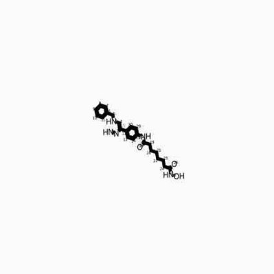 N=N/C(=C\NCc1ccccc1)c1ccc(NC(=O)CCCCCCC(=O)NO)cc1